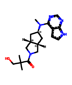 CN(c1ncnc2[nH]ccc12)[C@H]1C[C@@H]2CN(C(=O)C(C)(C)CO)C[C@@H]2C1